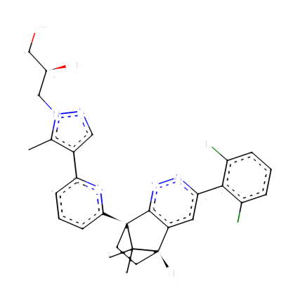 Cc1c(-c2cccc([C@@]34CC[C@@H](c5cc(-c6c(F)cccc6F)nnc53)C4(C)C)n2)cnn1C[C@H](O)CO